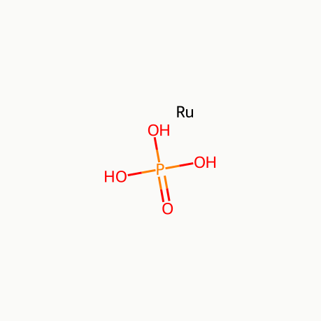 O=P(O)(O)O.[Ru]